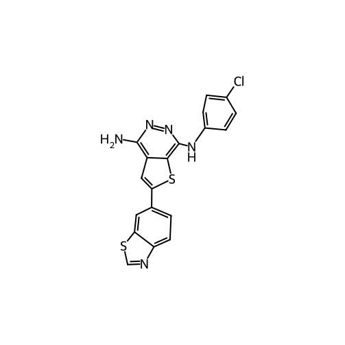 Nc1nnc(Nc2ccc(Cl)cc2)c2sc(-c3ccc4ncsc4c3)cc12